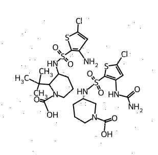 CC(C)(C)C1C(NS(=O)(=O)c2sc(Cl)cc2N)CCCN1C(=O)O.NC(=O)Nc1cc(Cl)sc1S(=O)(=O)N[C@H]1CCCN(C(=O)O)C1